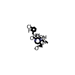 CCN1C[C@]2(C[C@H]2COC)C2CC/C=C(/C(=O)NCc3cccc(Cl)c3F)C(=O)/C(O)=C\2C1=O